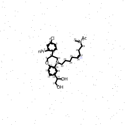 CCCc1cc(Cl)ccc1C1COc2ccc(C(O)CO)cc2N(CCCC/C=C\CCN(C)C(C)=O)C1